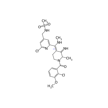 CN/C(=C1/CCN(C(=O)c2cccc(OC)c2Cl)C(C)C1=N)c1cc(CNS(C)(=O)=O)cc(Cl)n1